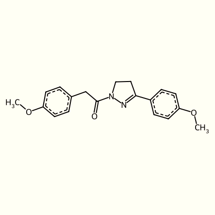 COc1ccc(CC(=O)N2CCC(c3ccc(OC)cc3)=N2)cc1